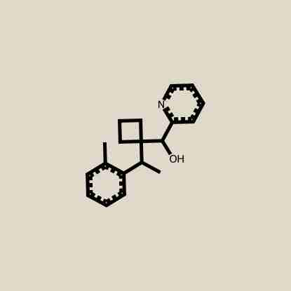 Cc1ccccc1C(C)C1(C(O)c2ccccn2)CCC1